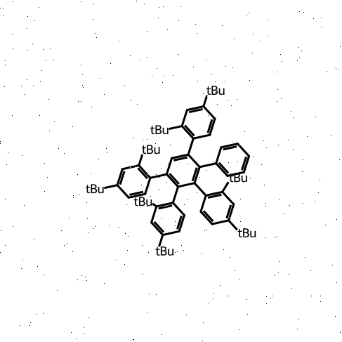 CC(C)(C)c1ccc(-c2cc(-c3ccc(C(C)(C)C)cc3C(C)(C)C)c(-c3ccc(C(C)(C)C)cc3C(C)(C)C)c(-c3ccc(C(C)(C)C)cc3C(C)(C)C)c2-c2ccccc2)c(C(C)(C)C)c1